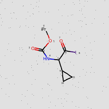 CC(C)OC(=O)NC(C(=O)I)C1CC1